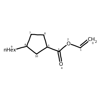 C=COC(=O)C1CCC(CCCCCC)C1